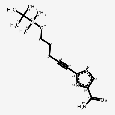 CC(C)(C)[Si](C)(C)OCCCC#Cc1nc(C(N)=O)cs1